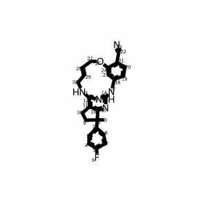 CC1(c2ccc(F)cc2)CCc2c3nc(nc21)Nc1ccc(C#N)c(c1)OC/C=C/CN3